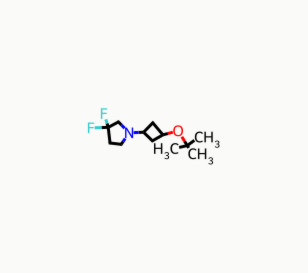 CC(C)(C)OC1CC(N2CCC(F)(F)C2)C1